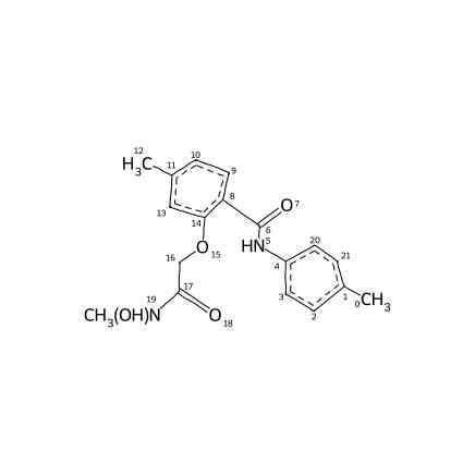 Cc1ccc(NC(=O)c2ccc(C)cc2OCC(=O)N(C)O)cc1